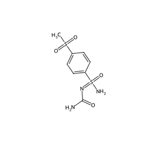 CS(=O)(=O)c1ccc(S(N)(=O)=NC(N)=O)cc1